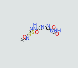 CC(C)(C)c1cnc(CSc2cnc(NC(=O)C3CCN(Cc4ccc(N5CCC(=O)NC5=O)cn4)CC3)s2)o1